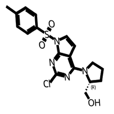 Cc1ccc(S(=O)(=O)n2ccc3c(N4CCC[C@@H]4CO)nc(Cl)nc32)cc1